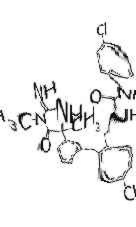 CN1C(=N)NC(C)(c2cccc(-c3cc(Cl)ccc3CNC(=O)Nc3ccc(Cl)cc3)c2)C1=O